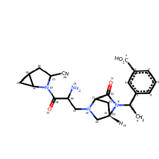 CC(c1cccc(C(=O)O)c1)N1C(=O)C2C[C@H]1CN2CC(N)C(=O)N1C(C#N)CC2CC21